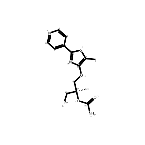 Cc1sc(-c2ccncc2)nc1OC[C@](C)(CC(C)C)OC(N)=O